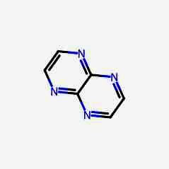 c1cnc2nccnc2n1